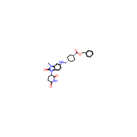 Cn1c(=O)n(C2CCC(=O)NC2=O)c2ccc(NC[C@H]3CC[C@H](C(=O)OCc4ccccc4)CC3)cc21